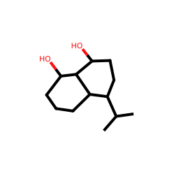 CC(C)C1CCC(O)C2C(O)CCCC12